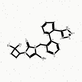 CCCCc1cn(C2CCC2(CC)CC)c(=O)n1Cc1cnccc1-c1ccccc1-c1nnn[nH]1